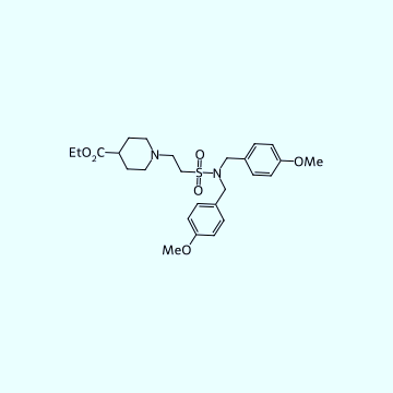 CCOC(=O)C1CCN(CCS(=O)(=O)N(Cc2ccc(OC)cc2)Cc2ccc(OC)cc2)CC1